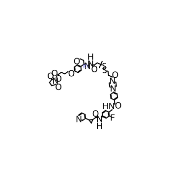 CC(C)(CC(=O)N/N=C1\CCOc2cc(OCCCC(=O)ON3C(=O)CCC3=O)ccc21)SSCCC(=O)N1CCN(c2ccc(C(=O)NCc3ccc(NC(=O)C4CC4c4cccnc4)cc3F)cc2)CC1